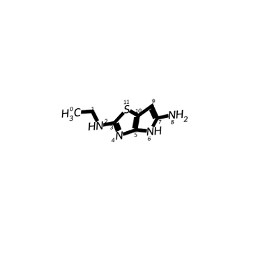 CCNc1nc2[nH]c(N)cc2s1